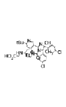 CCOc1cc(C(C)(C)C)ncc1C1=N[C@@](C)(c2ccc(Cl)cc2)[C@@](C)(c2ccc(Cl)cc2)N1C(=O)N1CCC(NCC(=O)O)CC1